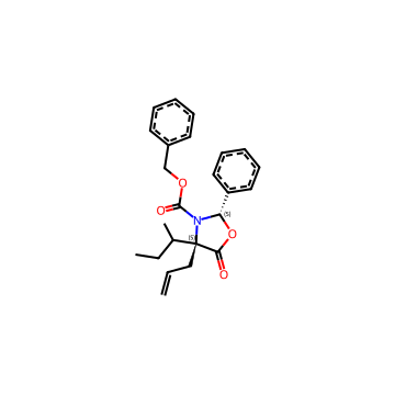 C=CC[C@]1(C(C)CC)C(=O)O[C@@H](c2ccccc2)N1C(=O)OCc1ccccc1